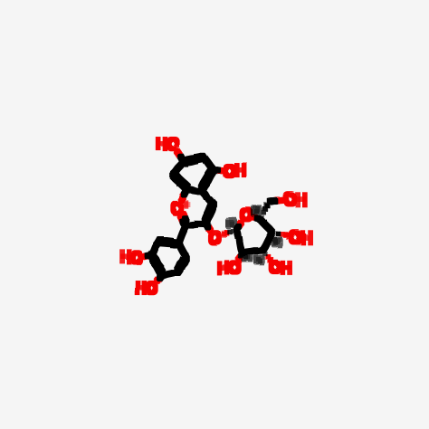 OC[C@H]1O[C@@H](Oc2cc3c(O)cc(O)cc3[o+]c2-c2ccc(O)c(O)c2)[C@H](O)[C@@H](O)[C@H]1O